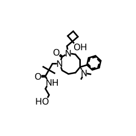 CN(C)[C@@]1(c2ccccc2)CCCN(CC(C)(C)C(=O)NCCO)C(=O)N(CC2(O)CCC2)CC1